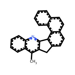 Cc1c2c(nc3ccccc13)-c1c(ccc3ccc4ccccc4c13)C2